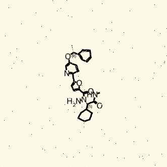 CNC(=O)[C@H](C1CCCCC1)N(N)C(=O)c1ccc(-c2ccc(O[C@H](C)c3ccccc3)cn2)o1